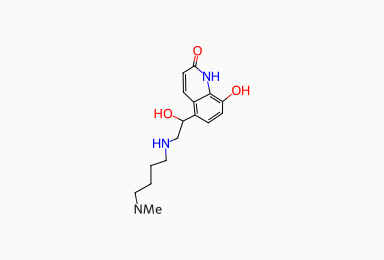 CNCCCCNCC(O)c1ccc(O)c2[nH]c(=O)ccc12